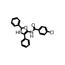 O=C(NC1=C(c2ccccc2)NC(c2ccccc2)O1)c1ccc(Cl)cc1